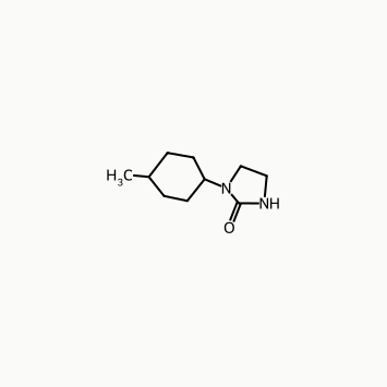 CC1CCC(N2CCNC2=O)CC1